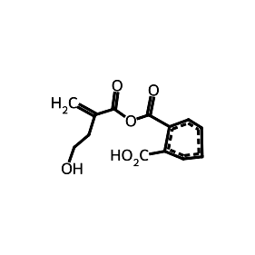 C=C(CCO)C(=O)OC(=O)c1ccccc1C(=O)O